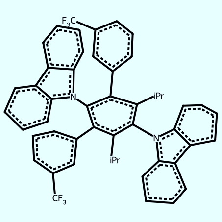 CC(C)c1c(-c2cccc(C(F)(F)F)c2)c(-n2c3ccccc3c3ccccc32)c(-c2cccc(C(F)(F)F)c2)c(C(C)C)c1-n1c2ccccc2c2ccccc21